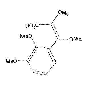 COC(C(=O)O)=C(OC)c1cccc(OC)c1OC